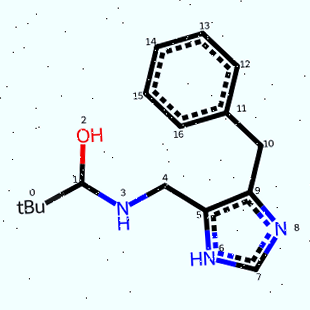 CC(C)(C)C(O)NCc1[nH]cnc1Cc1ccccc1